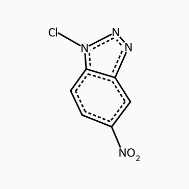 O=[N+]([O-])c1ccc2c(c1)nnn2Cl